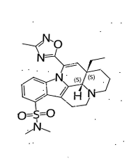 CC[C@@]12C=C(c3nc(C)no3)n3c4c(c5c(S(=O)(=O)N(C)C)cccc53)CCN(CCC1)[C@H]42